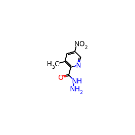 Cc1cc([N+](=O)[O-])cnc1C(=O)NN